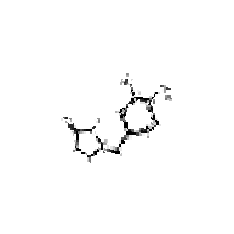 O=C1CC[C@H](Cc2ccc(O)c(O)c2)O1